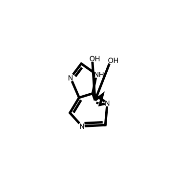 OC1(O)C=CN2C=NC=C3N=CNC321